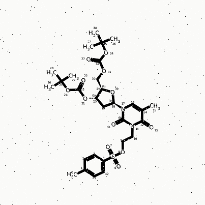 Cc1ccc(S(=O)(=O)OCCn2c(=O)c(C)cn([C@H]3C[C@H](OC(=O)OC(C)(C)C)[C@@H](COC(=O)OC(C)(C)C)O3)c2=O)cc1